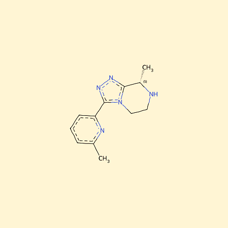 Cc1cccc(-c2nnc3n2CCN[C@H]3C)n1